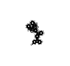 Cc1ccc2c(c1)c1ccccc1n2-c1ccc2c(c1)c1ccccc1n2-c1cc2c3c(c1)Oc1nc4ccccc4n1B3n1c(nc3ccccc31)O2